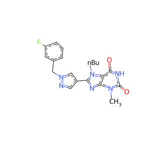 CCCCn1c(-c2cnn(Cc3cccc(F)c3)c2)nc2c1c(=O)[nH]c(=O)n2C